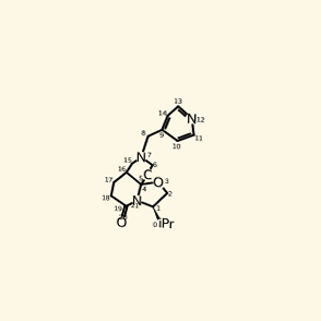 CC(C)[C@@H]1COC23CCN(Cc4ccncc4)CC2CCC(=O)N13